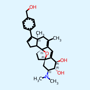 CC1=C2C=C3[C@@H](O)[C@H](O)[C@@H](N(C)C)C[C@]34CC[C@]2(O4)C2CC=C(c3ccc(CO)cc3)[C@@]2(C)C1